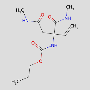 C=CC(CC(=O)NC)(NC(=O)OCCC)C(=O)NC